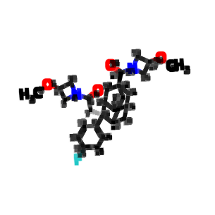 COC1CN(C(=O)C[C@]2(c3ccc(F)cc3)C3CC4CC2C[C@@](C(=O)N2CC(OC)C2)(C4)C3)C1